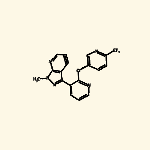 Cn1nc(-c2cccnc2Oc2ccc(C(F)(F)F)nc2)c2c#ccnc21